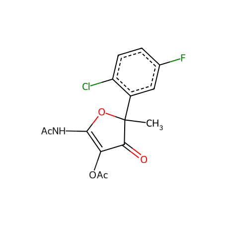 CC(=O)NC1=C(OC(C)=O)C(=O)C(C)(c2cc(F)ccc2Cl)O1